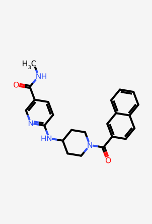 CNC(=O)c1ccc(NC2CCN(C(=O)c3ccc4ccccc4c3)CC2)nc1